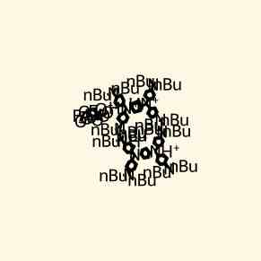 CCCCN(CCCC)c1ccc([NH+](c2ccc(N(CCCC)CCCC)cc2)c2ccc([NH+](c3ccc(N(CCCC)CCCC)cc3)c3ccc(N(CCCC)CCCC)cc3)cc2)cc1.CCCCN(CCCC)c1ccc([NH+](c2ccc(N(CCCC)CCCC)cc2)c2ccc([NH+](c3ccc(N(CCCC)CCCC)cc3)c3ccc(N(CCCC)CCCC)cc3)cc2)cc1.[O]=[Sb]([O-])([F])[O][O-].[O]=[Sb]([O-])([F])[O][O-]